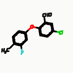 Cc1ccc(Oc2ccc(Cl)cc2C=O)cc1F